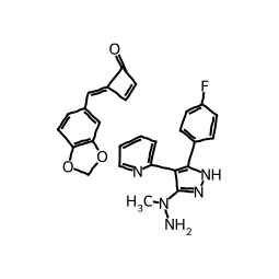 CN(N)c1n[nH]c(-c2ccc(F)cc2)c1-c1ccccn1.O=C1C=CC1=Cc1ccc2c(c1)OCO2